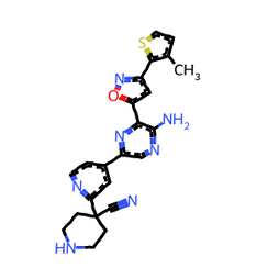 Cc1ccsc1-c1cc(-c2nc(-c3ccnc(C4(C#N)CCNCC4)c3)cnc2N)on1